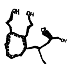 CC(C(=O)O)c1cccc(CO)c1CO